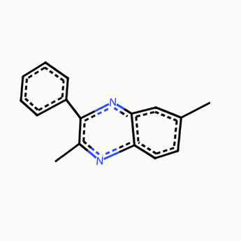 Cc1ccc2nc(C)c(-c3ccccc3)nc2c1